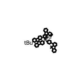 CC(C)(C)c1ccc2c(c1)C1(c3ccccc3-c3ccc(N(c4ccc(-c5cccc6c5C(C)(C)c5ccccc5-6)cc4)c4ccc5c(c4)C4(CC6CCC4C6)c4ccccc4-5)cc31)c1cc(C(C)(C)C)ccc1-2